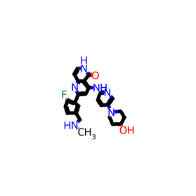 CNCc1ccc(F)c(-c2cc(Nc3ccc(N4CCC(O)CC4)cn3)c3c(=O)[nH]ccc3n2)c1